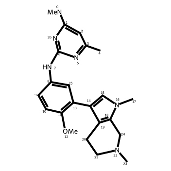 CNc1cc(C)nc(Nc2ccc(OC)c(-c3cn(C)c4c3CCN(C)C4)c2)n1